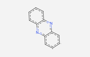 [c]1[c]cc2nc3ccccc3nc2c1